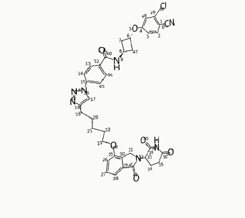 N#Cc1ccc(O[C@H]2C[C@H](NC(=O)c3ccc(-n4cc(CCCCCOc5cccc6c5CN(C5CCC(=O)NC5=O)C6=O)nn4)cc3)C2)cc1Cl